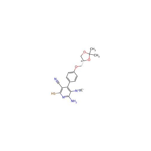 [C-]#[N+]c1c(N)nc(S)c(C#N)c1-c1ccc(OC[C@@H]2COC(C)(C)O2)cc1